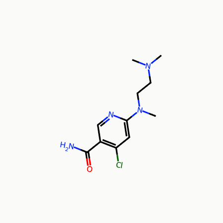 CN(C)CCN(C)c1cc(Cl)c(C(N)=O)cn1